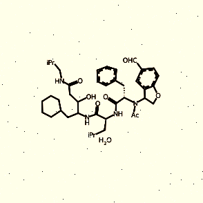 CC(=O)N(C1COc2ccc(C=O)cc21)[C@@H](Cc1ccccc1)C(=O)N[C@@H](CC(C)C)C(=O)NC(CC1CCCCC1)C(O)CC(=O)NCC(C)C.O